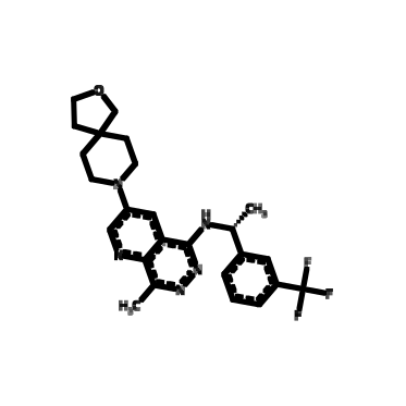 Cc1nnc(N[C@H](C)c2cccc(C(F)(F)F)c2)c2cc(N3CCC4(CCOC4)CC3)cnc12